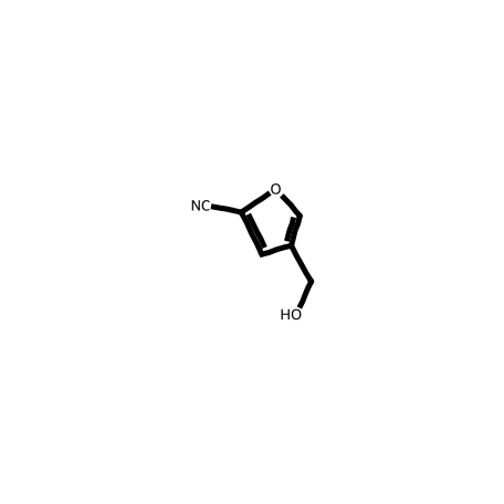 N#Cc1cc(CO)co1